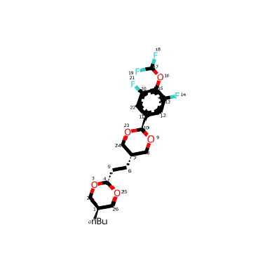 CCCC[C@H]1CO[C@H](CC[C@H]2CO[C@H](c3cc(F)c(OC(F)F)c(F)c3)OC2)OC1